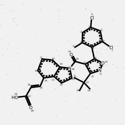 Cc1cc(Cl)cc(Cl)c1-c1onc(C(C)(C)C)c1C(=O)n1ccc2c(/C=C/C(=O)O)cccc21